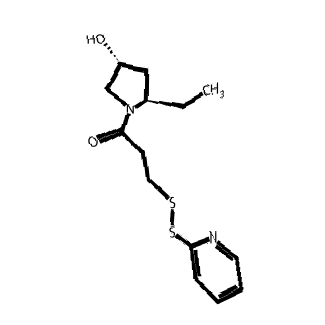 CC[C@@H]1C[C@@H](O)CN1C(=O)CCSSc1ccccn1